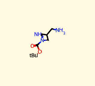 CC(C)(C)OC(=O)N1CC(CN)C1.N